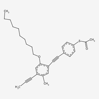 CC#Cc1cc(OCCCCCCCCCC)c(C#Cc2ccc(SC(C)=O)cc2)cc1C